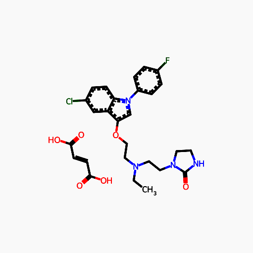 CCN(CCOc1cn(-c2ccc(F)cc2)c2ccc(Cl)cc12)CCN1CCNC1=O.O=C(O)C=CC(=O)O